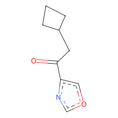 O=C(CC1CCC1)c1cocn1